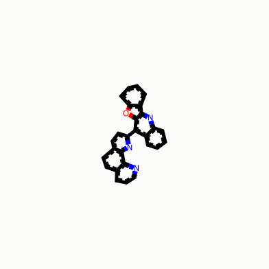 c1cnc2c(c1)ccc1ccc(-c3c4ccccc4nc4c3oc3ccccc34)nc12